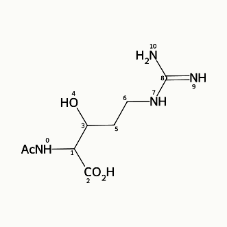 CC(=O)NC(C(=O)O)C(O)CCNC(=N)N